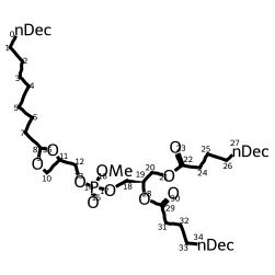 CCCCCCCCCCCCCCCCCC1OCC(COP(=O)(OC)OC[C@@H](COC(=O)CCCCCCCCCCCCC)OC(=O)CCCCCCCCCCCCC)O1